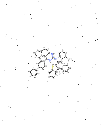 CC1C=CC=C2C1C1=C(C3Sc4ccccc4C3(C)c3ccccc31)N2C1=NC2C=Cc3ccccc3C2C(c2ccc(-c3ccccc3)cc2)=N1